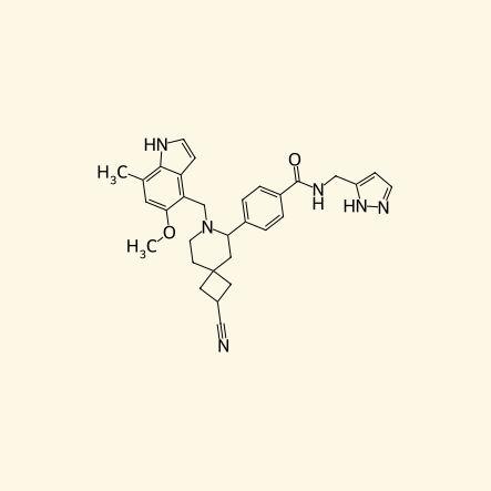 COc1cc(C)c2[nH]ccc2c1CN1CCC2(CC(C#N)C2)CC1c1ccc(C(=O)NCc2ccn[nH]2)cc1